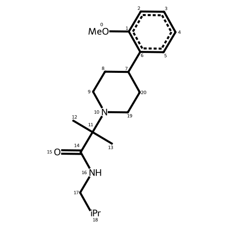 COc1ccccc1C1CCN(C(C)(C)C(=O)NCC(C)C)CC1